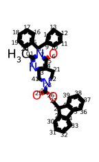 Cc1nc2c(c(=O)n1C(c1ccccc1)c1ccccc1)CCN(C(=O)OCC1c3ccccc3-c3ccccc31)C2